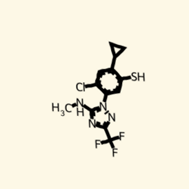 CNc1nc(C(F)(F)F)nn1-c1cc(S)c(C2CC2)cc1Cl